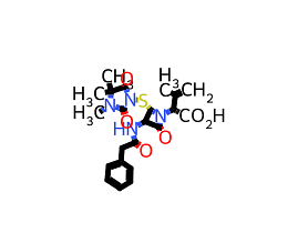 C=C(C)C(C(=O)O)N1C(=O)C(NC(=O)Cc2ccccc2)C1SN1C(=O)N(C)C(C)(C)C1=O